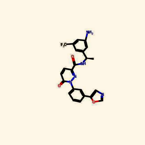 C[C@@H](NC(=O)c1ccc(=O)n(-c2cccc(-c3cnco3)c2)n1)c1cc(N)cc(C(F)(F)F)c1